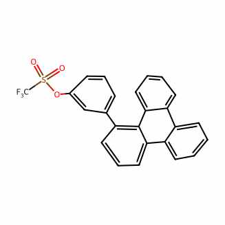 O=S(=O)(Oc1cccc(-c2cccc3c4ccccc4c4ccccc4c23)c1)C(F)(F)F